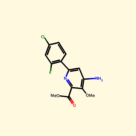 COC(=O)c1nc(-c2ccc(Cl)cc2F)cc(N)c1OC